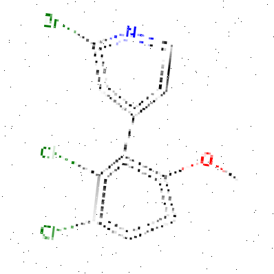 COc1ccc(Cl)c(Cl)c1-c1ccnc(Br)c1